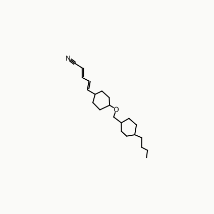 CCCCC1CCC(COC2CCC(C=CC=CC#N)CC2)CC1